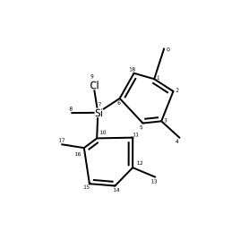 Cc1cc(C)cc([Si](C)(Cl)c2cc(C)ccc2C)c1